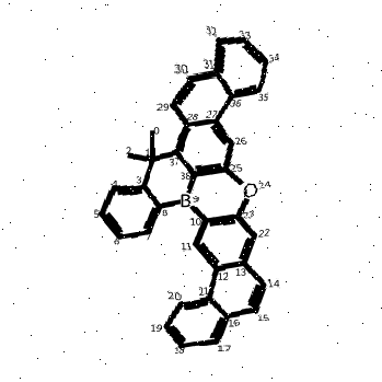 CC1(C)c2ccccc2B2c3cc4c(ccc5ccccc54)cc3Oc3cc4c(ccc5ccccc54)c1c32